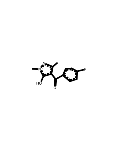 Cc1nn(C)c(O)c1C(=O)c1ccc(F)cc1